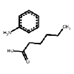 CCCCCC(=O)O.Nc1ccccc1